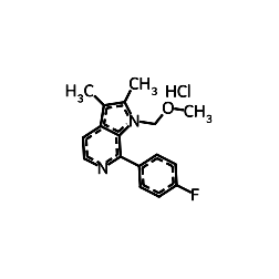 COCn1c(C)c(C)c2ccnc(-c3ccc(F)cc3)c21.Cl